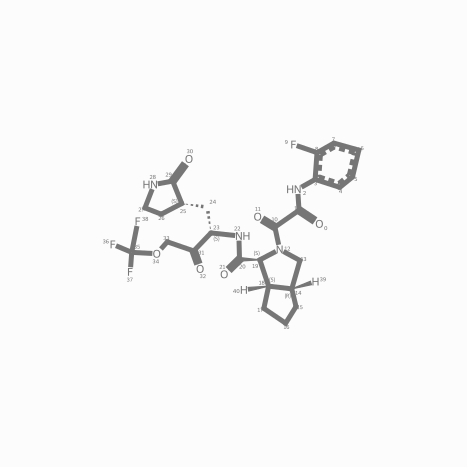 O=C(Nc1ccccc1F)C(=O)N1C[C@@H]2CCC[C@@H]2[C@H]1C(=O)N[C@@H](C[C@@H]1CCNC1=O)C(=O)COC(F)(F)F